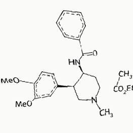 CCOC(C)=O.COc1ccc([C@@H]2CN(C)CC[C@@H]2NC(=O)c2ccccc2)cc1OC